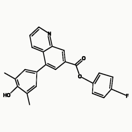 Cc1cc(-c2cc(C(=O)Oc3ccc(F)cc3)cc3ncccc23)cc(C)c1O